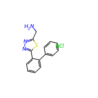 Cl.NCc1nnc(-c2ccccc2-c2ccccc2)s1